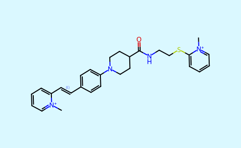 C[n+]1ccccc1/C=C/c1ccc(N2CCC(C(=O)NCCSc3cccc[n+]3C)CC2)cc1